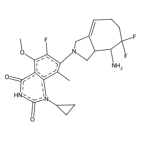 COc1c(F)c(N2CC3=CCCC(F)(F)C(N)C3C2)c(C)c2c1c(=O)[nH]c(=O)n2C1CC1